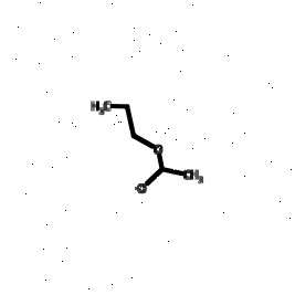 CCCOC(C)[O]